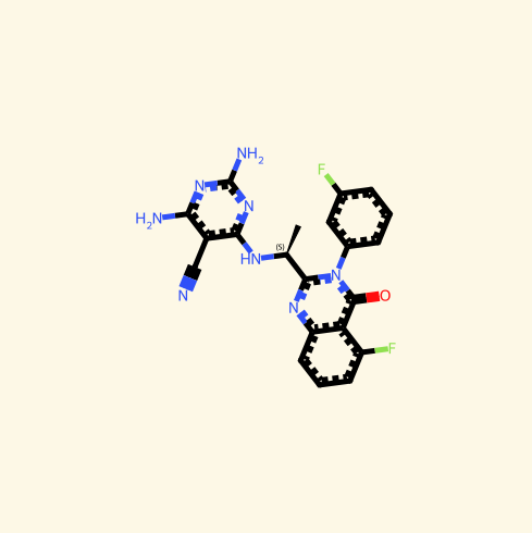 C[C@H](Nc1nc(N)nc(N)c1C#N)c1nc2cccc(F)c2c(=O)n1-c1cccc(F)c1